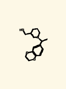 CC(c1ccc2c(c1)OCCO2)N1CCCC(CO)C1